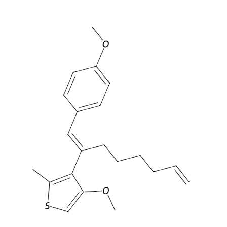 C=CCCCCC(=Cc1ccc(OC)cc1)c1c(OC)csc1C